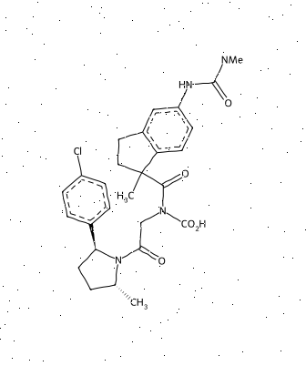 CNC(=O)Nc1ccc2c(c1)CCC2(C)C(=O)N(CC(=O)N1[C@H](C)CC[C@H]1c1ccc(Cl)cc1)C(=O)O